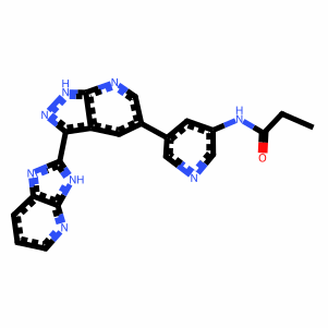 CCC(=O)Nc1cncc(-c2cnc3[nH]nc(-c4nc5cccnc5[nH]4)c3c2)c1